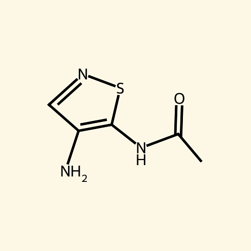 CC(=O)Nc1sncc1N